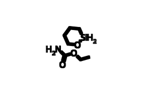 C1CC[SiH2]OC1.CCOC(N)=O